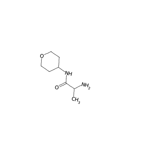 CC(N)C(=O)NC1CCOCC1